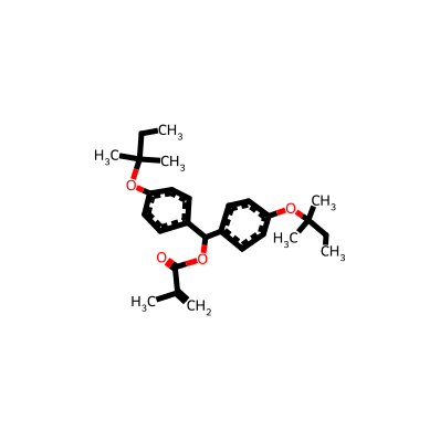 C=C(C)C(=O)OC(c1ccc(OC(C)(C)CC)cc1)c1ccc(OC(C)(C)CC)cc1